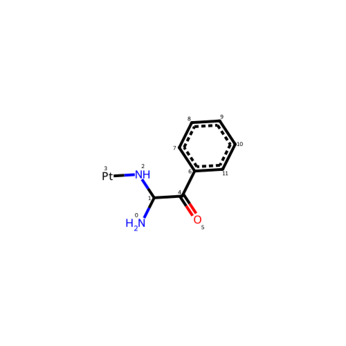 NC([NH][Pt])C(=O)c1ccccc1